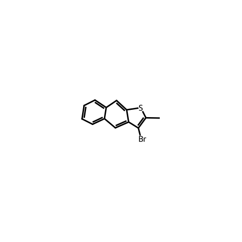 Cc1sc2cc3ccccc3cc2c1Br